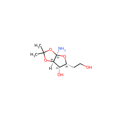 CC1(C)O[C@@H]2[C@@H](O)[C@@H](CCO)O[C@]2(N)O1